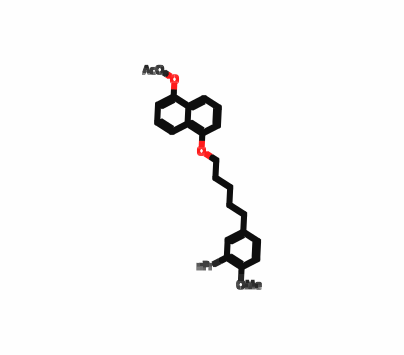 CCCc1cc(CCCCCOc2cccc3c(OOC(C)=O)cccc23)ccc1OC